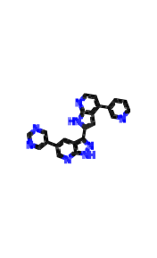 c1cncc(-c2ccnc3[nH]c(-c4n[nH]c5ncc(-c6cncnc6)cc45)cc23)c1